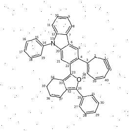 C1#CCC(c2cc3c4ccccc4n(-c4ccccc4)c3cc2-c2oc(-c3ccccc3)c3c2CCC=C3)=CC=C1